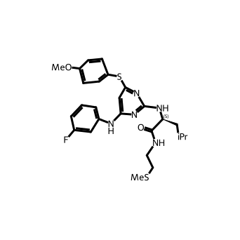 COc1ccc(Sc2cc(Nc3cccc(F)c3)nc(N[C@@H](CC(C)C)C(=O)NCCSC)n2)cc1